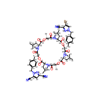 CC(C)C[C@H]1C(=O)O[C@H](Cc2ccc(Cn3nc(C#N)cc3C#N)cc2)C(=O)N(C)[C@@H](CC(C)C)C(=O)O[C@H](C)C(=O)N(C)[C@@H](CC(C)C)C(=O)O[C@H](Cc2ccc(Cn3cc(Br)c(C#N)n3)cc2)C(=O)N(C)[C@@H](CC(C)C)C(=O)O[C@H](C)C(=O)N1C